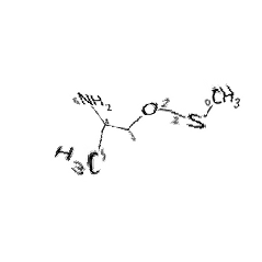 CSOCC(C)N